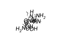 CCC[C@H](NC(=O)[C@](C)(N)C(=O)CNC)C(=O)NC(CC(=O)O)P(=O)(O)C(C)N